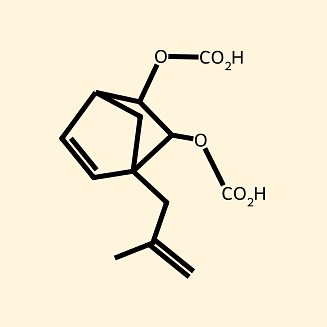 C=C(C)CC12C=CC(C1)C(OC(=O)O)C2OC(=O)O